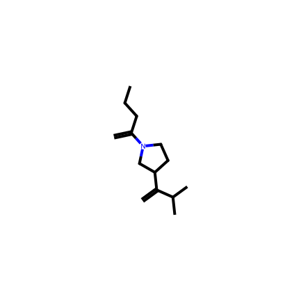 C=C(C(C)C)C1CCN(C(=C)CCC)C1